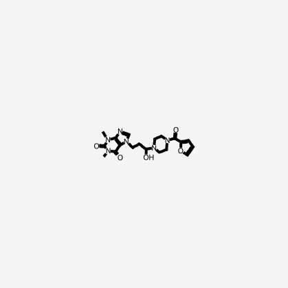 Cn1c(=O)c2c(ncn2CCC(O)N2CCN(C(=O)c3ccco3)CC2)n(C)c1=O